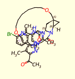 C=C(/C1=C\c2c(C)c(C(C)=O)nn2CC(=O)N2[C@H](C(=O)Nc3nc(Br)ccc3C)C[C@@]3(COCCCCCCO1)C[C@@H]23)c1cnc(C)nc1